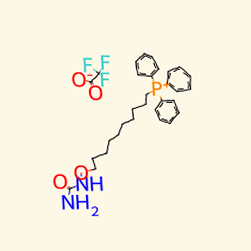 NC(=O)NOCCCCCCCCCC[P+](c1ccccc1)(c1ccccc1)c1ccccc1.O=C([O-])C(F)(F)F